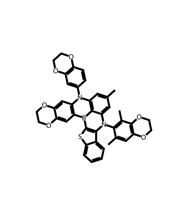 Cc1cc2c3c(c1)N(c1c(C)cc4c(c1C)OCCO4)c1c(sc4ccccc14)B3c1cc3c(cc1N2c1ccc2c(c1)OCCO2)OCCO3